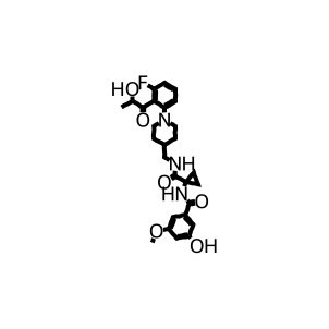 COc1cc(O)cc(C(=O)NC2(C(=O)NCC3CCN(c4cccc(F)c4C(=O)C(C)O)CC3)CC2)c1